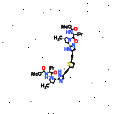 COC(=O)N[C@H](C(=O)N1C[C@@H](C)C[C@H]1c1ncc(C#Cc2ccc(C#Cc3cnc([C@@H]4C[C@H](C)CN4C(=O)[C@@H](NC(=O)OC)C(C)C)[nH]3)s2)[nH]1)C(C)C